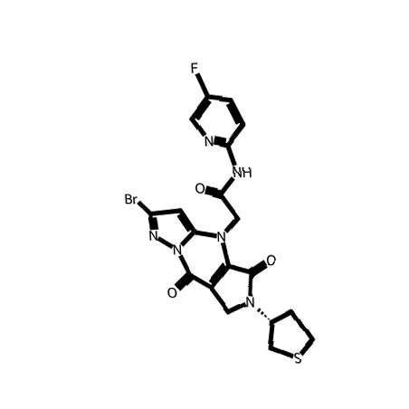 O=C(Cn1c2c(c(=O)n3nc(Br)cc13)CN([C@@H]1CCSC1)C2=O)Nc1ccc(F)cn1